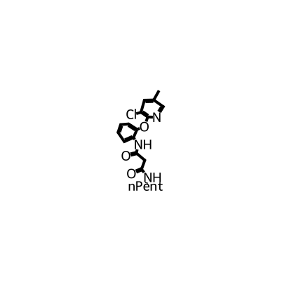 CCCCCNC(=O)CC(=O)Nc1ccccc1Oc1ncc(C)cc1Cl